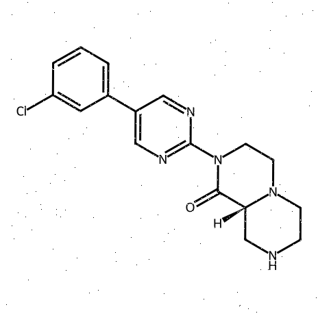 O=C1[C@H]2CNCCN2CCN1c1ncc(-c2cccc(Cl)c2)cn1